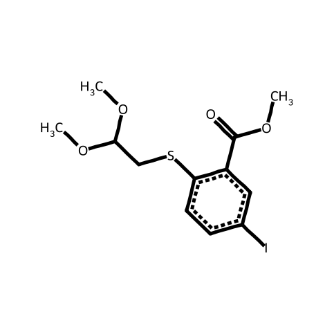 COC(=O)c1cc(I)ccc1SCC(OC)OC